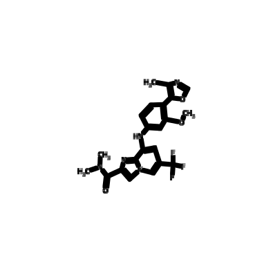 COc1cc(Nc2cc(C(F)(F)F)cn3cc(C(=O)N(C)C)nc23)ccc1-c1ocnc1C